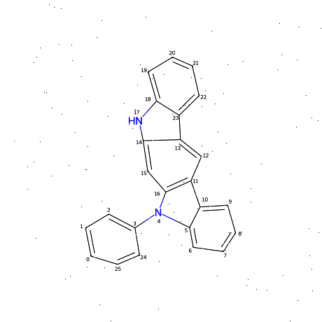 c1ccc(-n2c3ccccc3c3cc4c(cc32)[nH]c2ccccc24)cc1